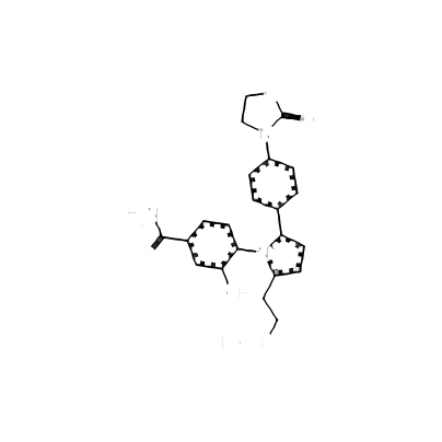 CCOC(=O)CCc1ccc(-c2ccc(N3CCOC3=O)cc2)n1-c1ccc(C(N)=O)cc1C